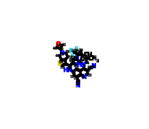 CC(C)(C)CNc1c(C#N)cnc2c(C#N)cc(N[C@H](c3cn(C4(C(F)(F)F)CC4)nn3)c3csc4c3CCN(C3COC3)C4)cc12